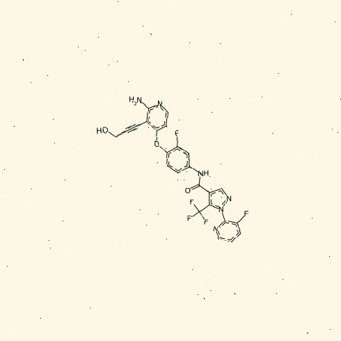 Nc1nccc(Oc2ccc(NC(=O)c3cnn(-c4ncccc4F)c3C(F)(F)F)cc2F)c1C#CCO